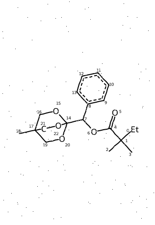 CCC(C)(C)C(=O)OC(c1ccccc1)C12OCC(C)(CO1)CO2